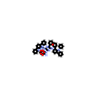 C1=C=CC(Nc2nc(-n3c4ccccc4c4c3ccc3c5ccccc5n(-c5ccccc5)c34)c(-c3ccccc3)nc2Nn2c3ccccc3c3ccc4c5ccccc5n(-c5ccccc5)c4c32)=CC=1